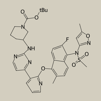 Cc1cc(N(c2c(F)ccc3c(Oc4ncccc4-c4ccnc(NC5CCCN(C(=O)OC(C)(C)C)C5)n4)c(C)ccc23)S(C)(=O)=O)no1